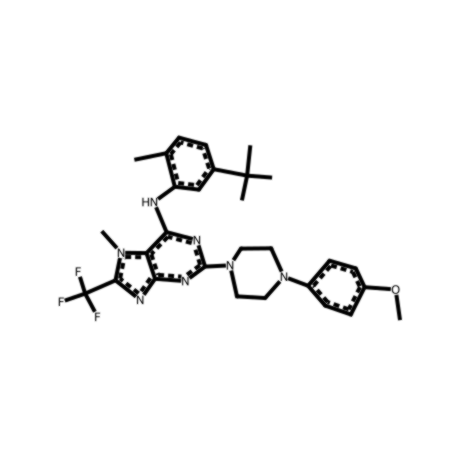 COc1ccc(N2CCN(c3nc(Nc4cc(C(C)(C)C)ccc4C)c4c(n3)nc(C(F)(F)F)n4C)CC2)cc1